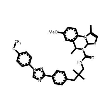 COc1ccc2c(c1)C(C)N(C(=O)NCC(C)(C)Cc1ccc(-c3ncn(-c4ccc(OC(F)(F)F)cc4)n3)cc1)C1SC=C(C)N21